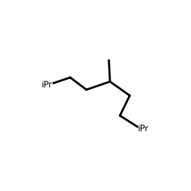 [CH2]C(C)CCC(C)CCC(C)C